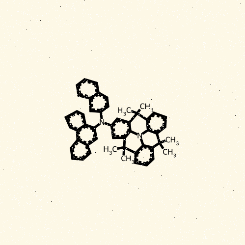 CC1(C)c2cccc3c2N2c4c1cccc4C(C)(C)c1cc(N(c4ccc5ccccc5c4)c4cc5ccccc5c5ccccc45)cc(c12)C3(C)C